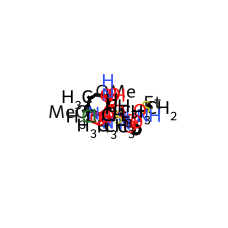 C=C(CC)SCC(=O)NCCOC1CCCC/C=C/C1OC(=O)N(C)CCN(C)C(=O)SCCC(=O)N(C)[C@@H](C)C(=O)O[C@H]1CC(=O)N(C)c2cc(cc(OC)c2Cl)C/C(C)=C/C=C/[C@@H](OC)[C@@]2(O)C[C@H](OC(=O)N2)[C@@H](C)[C@@H]2O[C@@]12C